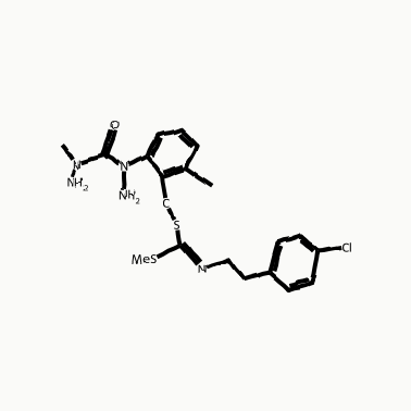 CSC(=NCCc1ccc(Cl)cc1)SCc1c(C)cccc1N(N)C(=O)N(C)N